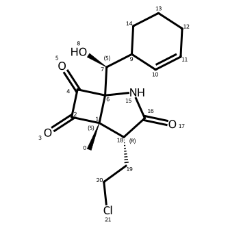 C[C@@]12C(=O)C(=O)C1([C@@H](O)C1C=CCCC1)NC(=O)[C@@H]2CCCl